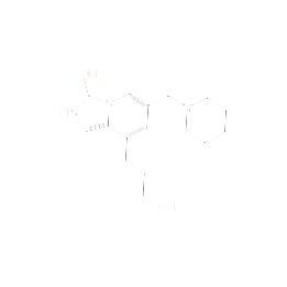 CCCCC1=CC(CN2CCCCC2)=CN2C1=CNC2O